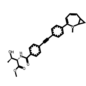 COC(=O)[C@@H](NC(=O)c1ccc(C#Cc2ccc(C3=CC=CC4CC4N3C)cc2)cc1)[C@@H](C)O